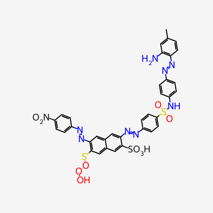 Cc1ccc(N=Nc2ccc(NS(=O)(=O)c3ccc(N=Nc4cc5cc(N=Nc6ccc([N+](=O)[O-])cc6)c(SOOO)cc5cc4S(=O)(=O)O)cc3)cc2)c(N)c1